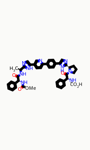 COC(=O)N[C@@H](C(=O)N[C@@H](C)c1ncc(-c2ccc(-c3ccc(-c4cnc([C@@H]5CCCN5C(=O)[C@H](NC(=O)O)c5ccccc5)[nH]4)cc3)nc2)[nH]1)c1ccccc1